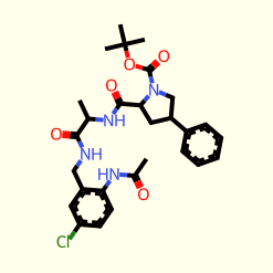 CC(=O)Nc1ccc(Cl)cc1CNC(=O)C(C)NC(=O)C1CC(c2ccccc2)CN1C(=O)OC(C)(C)C